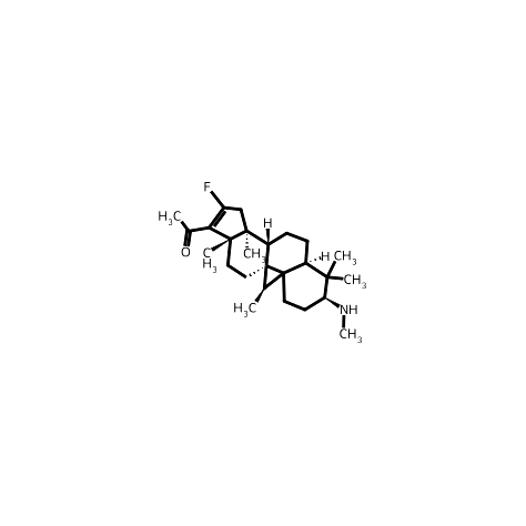 CN[C@H]1CCC23[C@@H](C)[C@]24CC[C@]2(C)C(C(C)=O)=C(F)C[C@@]2(C)[C@@H]4CC[C@H]3C1(C)C